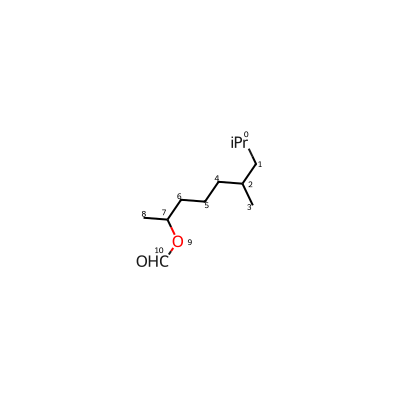 CC(C)CC(C)CCCC(C)OC=O